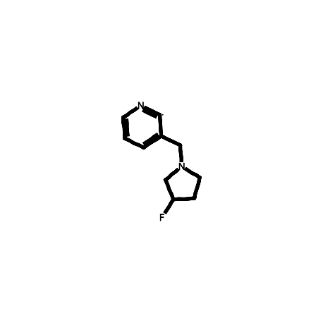 FC1CCN(Cc2[c]nccc2)C1